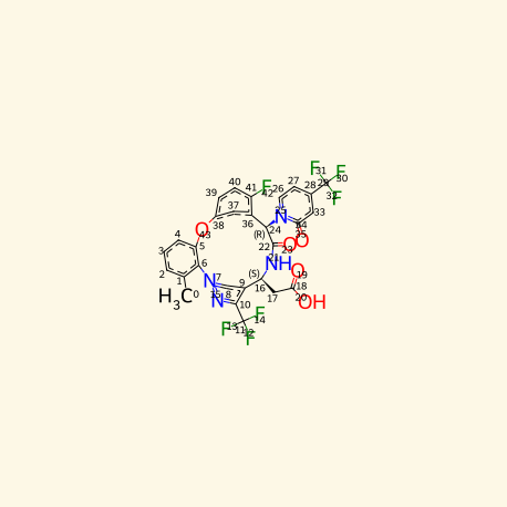 Cc1cccc2c1-n1cc(c(C(F)(F)F)n1)[C@H](CC(=O)O)NC(=O)[C@H](n1ccc(C(F)(F)F)cc1=O)c1cc(ccc1F)O2